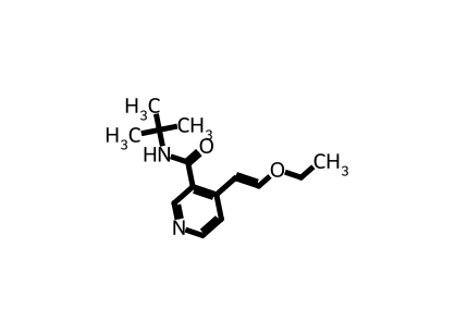 CCOC=Cc1ccncc1C(=O)NC(C)(C)C